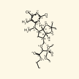 CCOC(=O)C(OC[C@H]1C[C@@H](N(N)c2nc(Cl)nc(Cl)c2N)[C@@H]2OC(C)(C)O[C@H]12)P(=O)(OC)OC